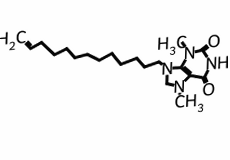 C=CCCCCCCCCCCCN1CN(C)c2c1n(C)c(=O)[nH]c2=O